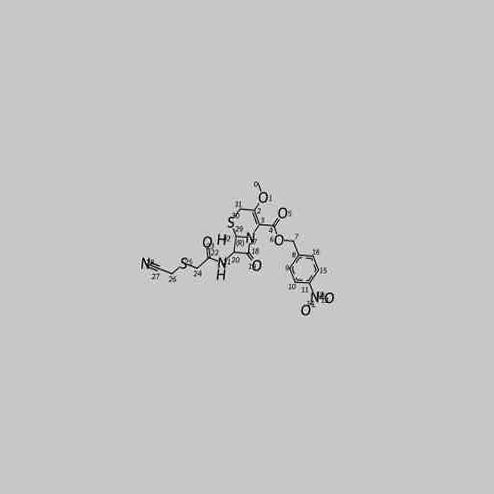 COC1=C(C(=O)OCc2ccc([N+](=O)[O-])cc2)N2C(=O)C(NC(=O)CSCC#N)[C@H]2SC1